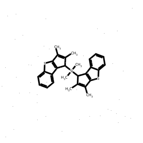 CC1=C(C)C([Si](C)(C)C2C(C)=C(C)c3sc4ccccc4c32)c2c1sc1ccccc21